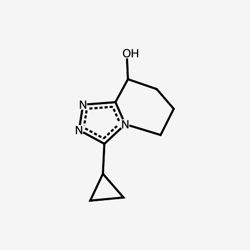 OC1CCCn2c1nnc2C1CC1